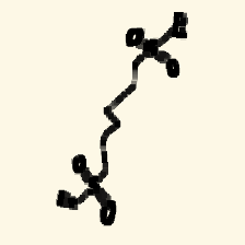 CCS(=O)(=O)CCCCCCS(=O)(=O)CC